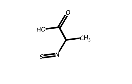 CC(N=S)C(=O)O